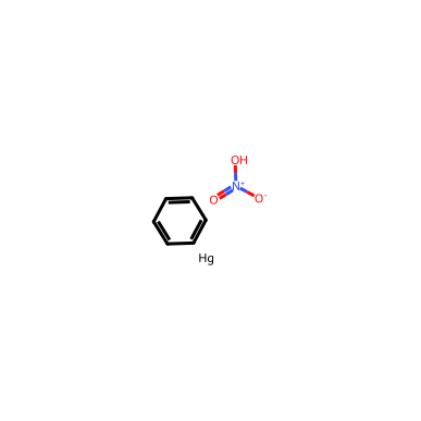 O=[N+]([O-])O.[Hg].c1ccccc1